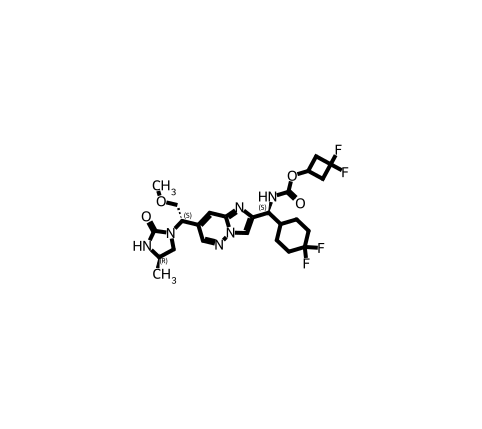 COC[C@H](c1cnn2cc([C@@H](NC(=O)OC3CC(F)(F)C3)C3CCC(F)(F)CC3)nc2c1)N1C[C@@H](C)NC1=O